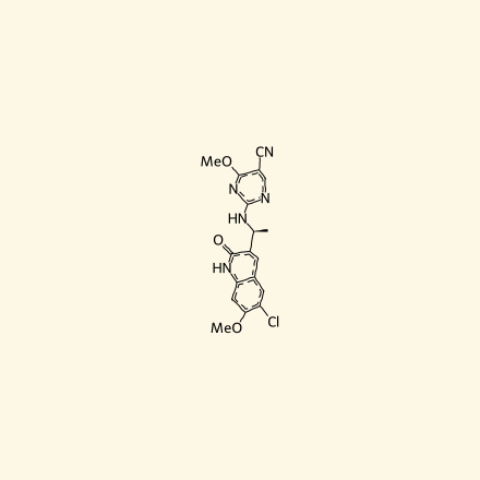 COc1cc2[nH]c(=O)c([C@H](C)Nc3ncc(C#N)c(OC)n3)cc2cc1Cl